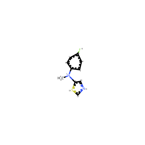 CN(c1ccc(F)cc1)c1cncs1